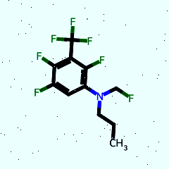 CCCN(CF)c1cc(F)c(F)c(C(F)(F)F)c1F